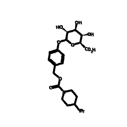 CC(C)C1CCN(C(=O)OCc2ccc(OC3O[C@H](C(=O)O)[C@@H](O)[C@H](O)[C@H]3O)cc2)CC1